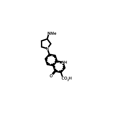 CNC1CCN(c2ccc3c(=O)c(C(=O)O)c[nH]c3c2)C1